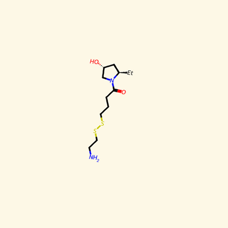 CC[C@@H]1C[C@@H](O)CN1C(=O)CCCSSCCN